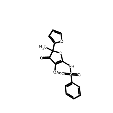 CC(=O)OC1=C(NS(=O)(=O)c2ccccc2)OC(C)(c2ccco2)C1=O